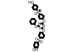 O=S(=O)(c1ccc(O)cc1)c1ccc(Oc2nc(Oc3ccccc3)nc(Oc3ccc(S(=O)(=O)c4ccc(O)cc4)cc3)n2)cc1